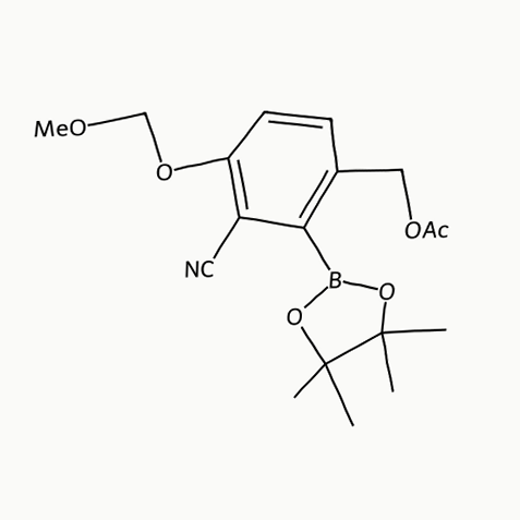 COCOc1ccc(COC(C)=O)c(B2OC(C)(C)C(C)(C)O2)c1C#N